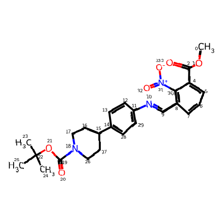 COC(=O)c1cccc(/C=N/c2ccc(C3CCN(C(=O)OC(C)(C)C)CC3)cc2)c1[N+](=O)[O-]